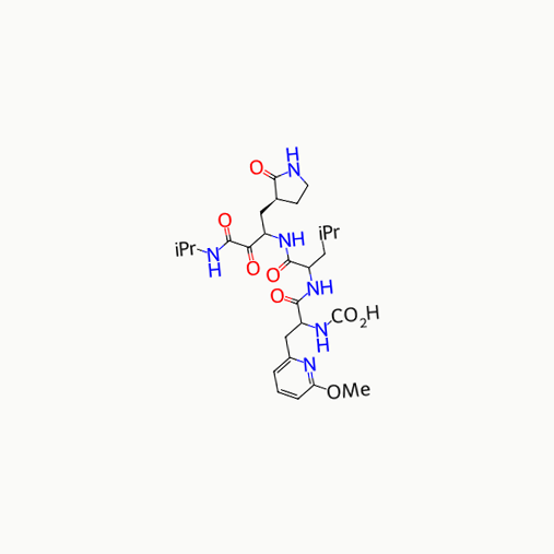 COc1cccc(CC(NC(=O)O)C(=O)NC(CC(C)C)C(=O)NC(C[C@@H]2CCNC2=O)C(=O)C(=O)NC(C)C)n1